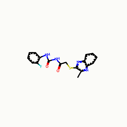 Cc1nc2ccccc2nc1SCC(=O)NC(=O)Nc1ccccc1F